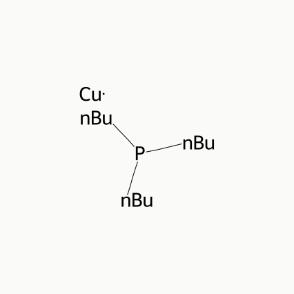 CCCCP(CCCC)CCCC.[Cu]